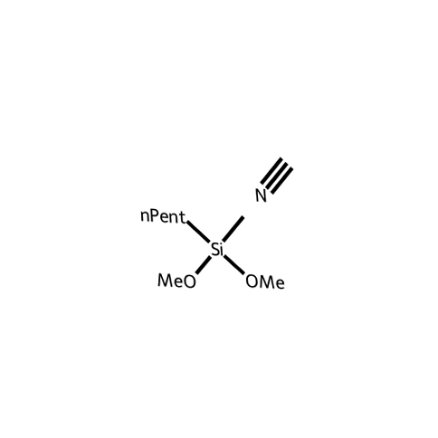 C#N.CCCCC[Si](C)(OC)OC